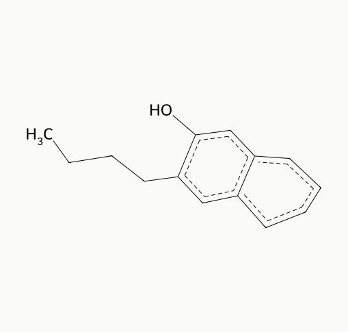 CCCCc1cc2ccccc2cc1O